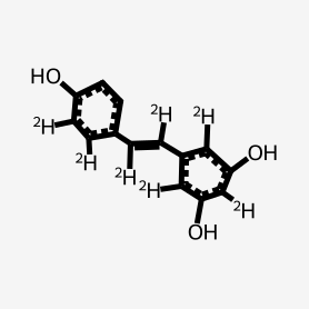 [2H]C(=C([2H])c1c([2H])c(O)c([2H])c(O)c1[2H])c1ccc(O)c([2H])c1[2H]